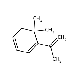 C=C(C)C1=CC=CCC1(C)C